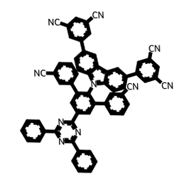 N#Cc1cc(C#N)cc(-c2ccc3c(c2)c2cc(-c4cc(C#N)cc(C#N)c4)ccc2n3-c2c(-c3cccc(C#N)c3)cc(-c3nc(-c4ccccc4)nc(-c4ccccc4)n3)cc2-c2cccc(C#N)c2)c1